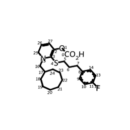 O=C(O)OC1=C(SCCCc2ccc(F)cc2)N(CC2CCCCCCC2)CC=C1